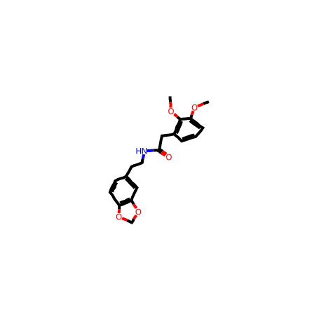 COc1cccc(CC(=O)NCCc2ccc3c(c2)OCO3)c1OC